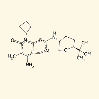 Cc1c(N)c2cnc(N[C@H]3CC[C@H](C(C)(C)O)CC3)nc2n(C2CCC2)c1=O